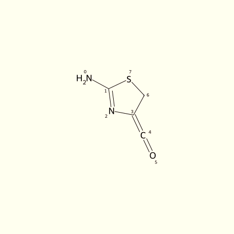 NC1=NC(=C=O)CS1